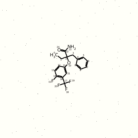 CCC(Cc1ccccc1)(Oc1ccc(F)c(C(F)(F)F)c1)C(N)=O